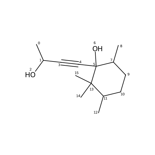 CC(O)C#CC1(O)C(C)CCC(C)C1(C)C